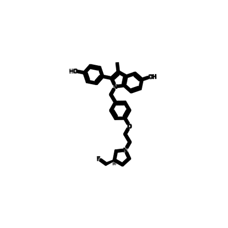 Cc1c(-c2ccc(O)cc2)n(Cc2ccc(OCCN3CC[C@@H](CF)C3)cc2)c2ccc(O)cc12